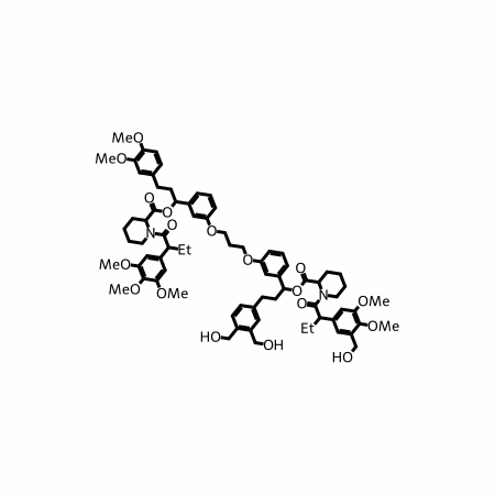 CCC(C(=O)N1CCCCC1C(=O)OC(CCc1ccc(CO)c(CO)c1)c1cccc(OCCCOc2cccc(C(CCc3ccc(OC)c(OC)c3)OC(=O)C3CCCCN3C(=O)C(CC)c3cc(OC)c(OC)c(OC)c3)c2)c1)c1cc(CO)c(OC)c(OC)c1